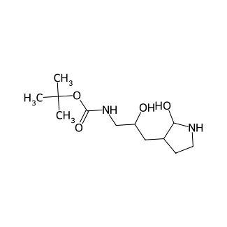 CC(C)(C)OC(=O)NCC(O)CC1CCNC1O